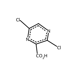 O=C(O)c1nc(Cl)cnc1Cl